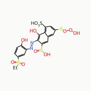 CCS(=O)(=O)c1ccc(O)c(/N=N/c2c(S(=O)O)cc3cc(SOOO)cc(S(=O)(=O)O)c3c2O)c1